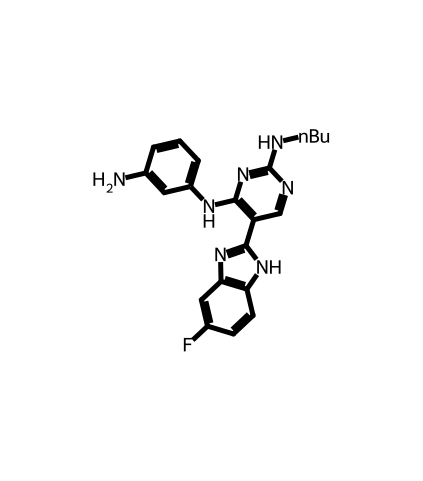 CCCCNc1ncc(-c2nc3cc(F)ccc3[nH]2)c(Nc2cccc(N)c2)n1